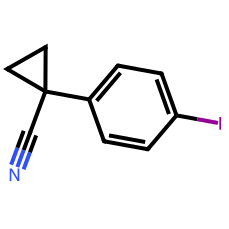 N#CC1(c2ccc(I)cc2)CC1